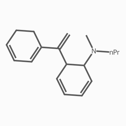 C=C(C1=CC=CCC1)C1C=CC=CC1N(C)CCC